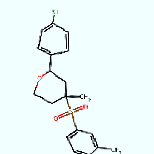 CC1(S(=O)(=O)c2cccc(C(F)(F)F)c2)CCOC(c2ccc(Cl)cc2)C1